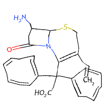 C=CC1=C(C(C(=O)O)(c2ccccc2)c2ccccc2)N2C(=O)C(N)C2SC1